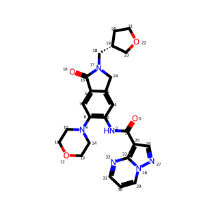 O=C(Nc1cc2c(cc1N1CCOCC1)C(=O)N(C[C@@H]1CCOC1)C2)c1cnn2cccnc12